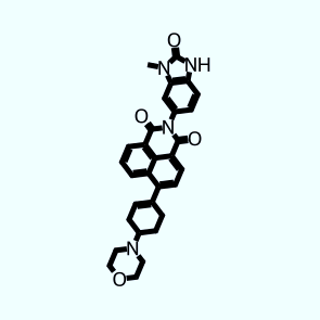 Cn1c(=O)[nH]c2ccc(N3C(=O)c4cccc5c(C6=CCC(N7CCOCC7)CC6)ccc(c45)C3=O)cc21